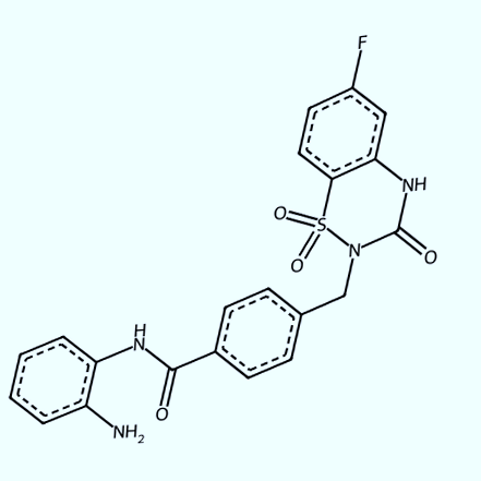 Nc1ccccc1NC(=O)c1ccc(CN2C(=O)Nc3cc(F)ccc3S2(=O)=O)cc1